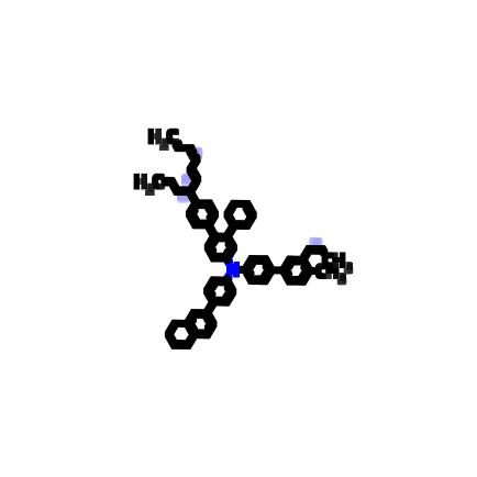 C=C\C=C/C=C/C(=C\C=C)c1ccc(-c2ccc(N(c3ccc(-c4ccc(C)c(/C=C\C)c4)cc3)c3ccc(-c4ccc5c(c4)CCC=C5)cc3)cc2C2=CC=CCC2)cc1